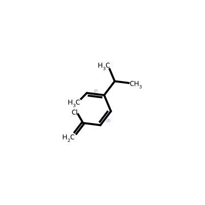 C=C(Cl)/C=C\C(=C/C)C(C)C